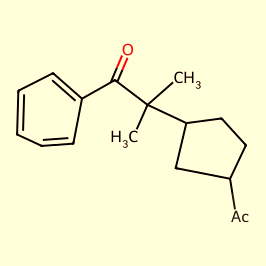 CC(=O)C1CCC(C(C)(C)C(=O)c2ccccc2)C1